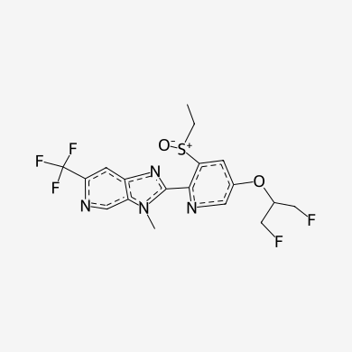 CC[S+]([O-])c1cc(OC(CF)CF)cnc1-c1nc2cc(C(F)(F)F)ncc2n1C